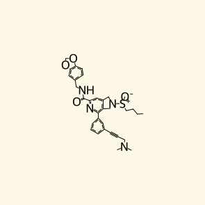 CCCC[S+]([O-])N1Cc2cc(C(=O)NCc3ccc4c(c3)OCO4)nc(-c3cccc(C#CCN(C)C)c3)c2C1